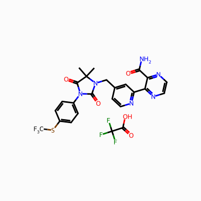 CC1(C)C(=O)N(c2ccc(SC(F)(F)F)cc2)C(=O)N1Cc1ccnc(-c2nccnc2C(N)=O)c1.O=C(O)C(F)(F)F